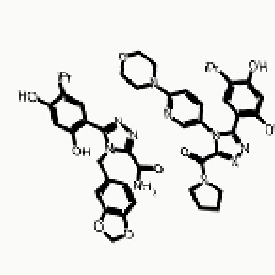 CC(C)c1cc(-c2nnc(C(=O)N3CCCC3)n2-c2ccc(N3CCOCC3)nc2)c(O)cc1O.CC(C)c1cc(-c2nnc(C(N)=O)n2Cc2ccc3c(c2)OCO3)c(O)cc1O